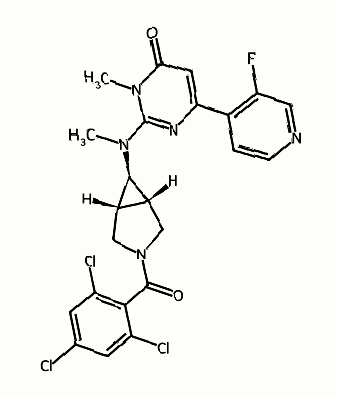 CN(c1nc(-c2ccncc2F)cc(=O)n1C)[C@H]1[C@@H]2CN(C(=O)c3c(Cl)cc(Cl)cc3Cl)C[C@@H]21